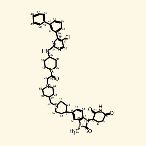 Cn1c(=O)n(C2CCC(=O)NC2=O)c2ccc(C3CCN(CC4CCN(CC(=O)N5CCC(Nc6ncc(Cl)c(-c7cccc(-c8ccccc8)c7)n6)CC5)CC4)CC3)cc21